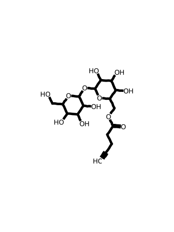 C#CCCC(=O)OCC1OC(OC2OC(CO)C(O)C(O)C2O)C(O)C(O)C1O